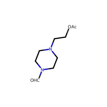 CC(=O)OCCN1CCN(C=O)CC1